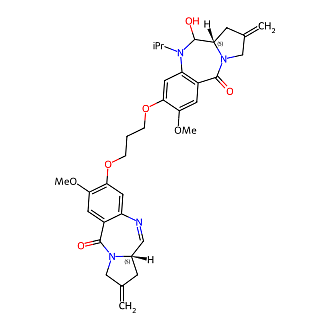 C=C1C[C@H]2C=Nc3cc(OCCCOc4cc5c(cc4OC)C(=O)N4CC(=C)C[C@H]4C(O)N5C(C)C)c(OC)cc3C(=O)N2C1